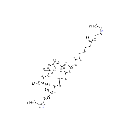 CCCCCC/C=C\COC(=O)CCCCCCCC(CCCCCCCC(=O)OC/C=C\CCCCCC)OC(=O)CC(C)(C)CC(C)(C)CCC(CC)NC